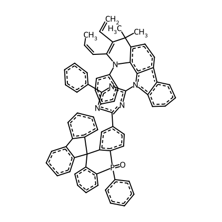 C=CC1=C(/C=C\C)N(c2ccccc2)c2c(ccc3c4ccccc4n(-c4nc(-c5ccccc5)nc(-c5ccc6c(c5)C5(c7ccccc7-c7ccccc75)c5ccccc5P6(=O)c5ccccc5)n4)c23)C1(C)C